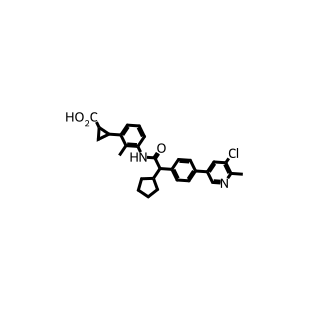 Cc1ncc(-c2ccc(C(C(=O)Nc3cccc(C4CC4C(=O)O)c3C)C3CCCC3)cc2)cc1Cl